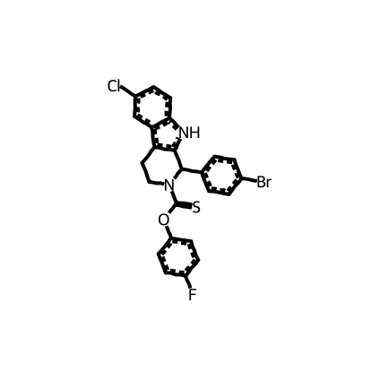 Fc1ccc(OC(=S)N2CCc3c([nH]c4ccc(Cl)cc34)C2c2ccc(Br)cc2)cc1